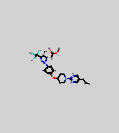 CCCc1cnc(N2CCC(Oc3ccc(N4N=C(C(F)(F)F)[C@@H](C)[C@@H]4CC(=O)OC)cc3)CC2)nc1